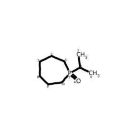 CC(C)P1(=O)CCCCCC1